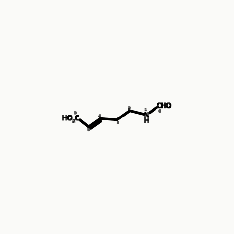 O=CNCCC=CC(=O)O